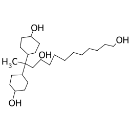 CC(CC(O)CCCCCCCCCO)(C1CCC(O)CC1)C1CCC(O)CC1